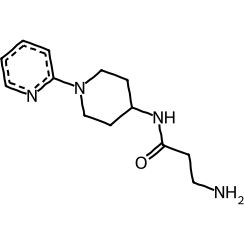 NCCC(=O)NC1CCN(c2ccccn2)CC1